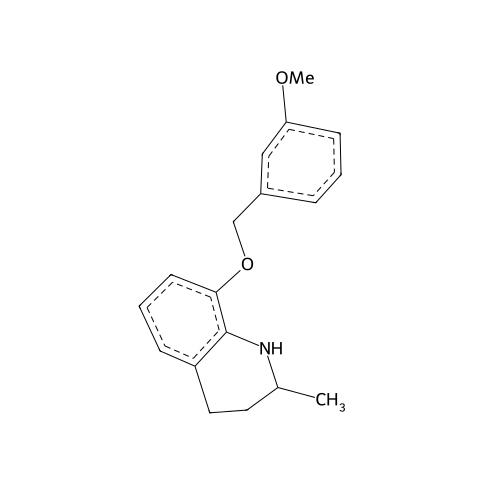 COc1cccc(COc2cccc3c2NC(C)CC3)c1